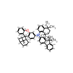 CC1(C)CCC(C)(C)c2c(N(c3ccc4c(c3)Oc3ccccc3C43C4CC5CC6CC3C64C5)c3ccc4c(c3)C(C)(C)c3ccccc3-4)cccc21